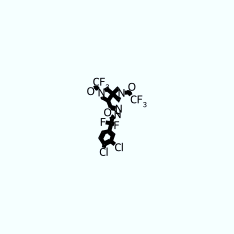 O=C(N1CC(c2nnc(C(F)(F)c3ccc(Cl)c(Cl)c3)o2)C2(C1)CN(C(=O)C(F)(F)F)C2)C(F)(F)F